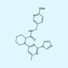 COc1ccc(CNC(=O)C2CCCCN2c2cc(C)nc(-n3ccnc3)n2)cn1